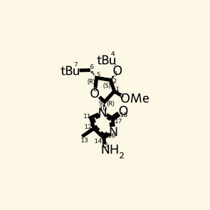 COC1[C@@H](OC(C)(C)C)[C@@H](CC(C)(C)C)O[C@H]1n1cc(C)c(N)nc1=O